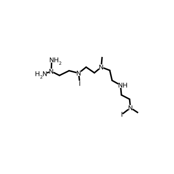 CN(I)CCNCCN(C)CCN(I)CCN(N)N